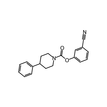 N#Cc1cccc(OC(=O)N2CCC(c3ccccc3)CC2)c1